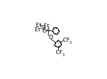 CC[Si](CC)(CC)O[C@@](C)(COCc1cc(C(F)(F)F)cc(C(F)(F)F)c1)c1ccccc1